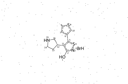 Br.Oc1nsc(-c2ccsc2)c1C1CCNC1